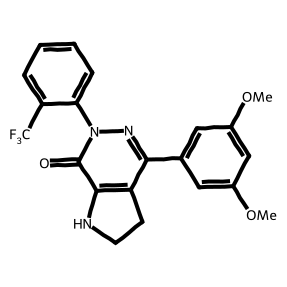 COc1cc(OC)cc(-c2nn(-c3ccccc3C(F)(F)F)c(=O)c3c2CCN3)c1